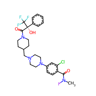 CN(I)C(=O)c1ccc(N2CCN(CC3CCN(C(=O)[C@](O)(c4ccccc4)C(F)(F)F)CC3)CC2)cc1Cl